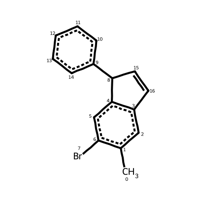 Cc1cc2c(cc1Br)C(c1ccccc1)C=C2